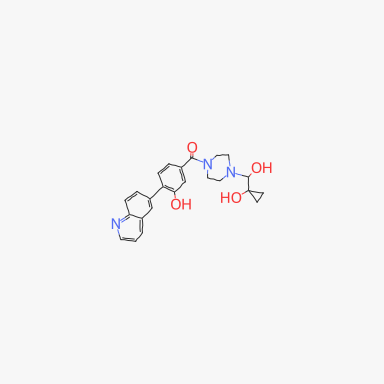 O=C(c1ccc(-c2ccc3ncccc3c2)c(O)c1)N1CCN(C(O)C2(O)CC2)CC1